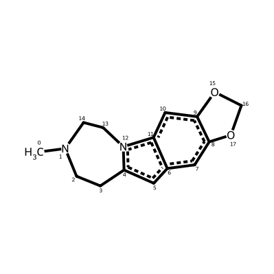 CN1CCc2cc3cc4c(cc3n2CC1)OCO4